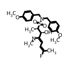 C=N/C(=C\C=C(/C)F)[C@H](O)[C@@H](C)S(=O)(=O)N(Cc1ccc(OC)cc1)Cc1ccc(OC)cc1